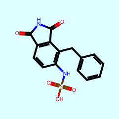 O=C1NC(=O)c2c1ccc(NS(=O)(=O)O)c2Cc1ccccc1